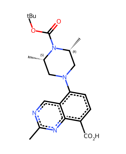 Cc1ncc2c(N3C[C@@H](C)N(C(=O)OC(C)(C)C)[C@@H](C)C3)ccc(C(=O)O)c2n1